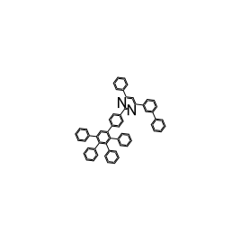 c1ccc(-c2cccc(-c3cc(-c4ccccc4)nc(-c4ccc(-c5cc(-c6ccccc6)c(-c6ccccc6)c(-c6ccccc6)c5-c5ccccc5)cc4)n3)c2)cc1